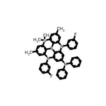 Cc1cc2c3c(c1)[Si](C)(C)c1cc(C)cc4c1B3c1c(cc(N(c3ccccc3)c3ccccc3)cc1N4c1cccc(F)c1)N2c1cccc(F)c1